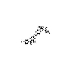 CCCCCCC(CN1CCC(COc2ccc(C(=O)c3ccc(Cl)cc3)c(Cl)c2)CC1)OC(N)=O